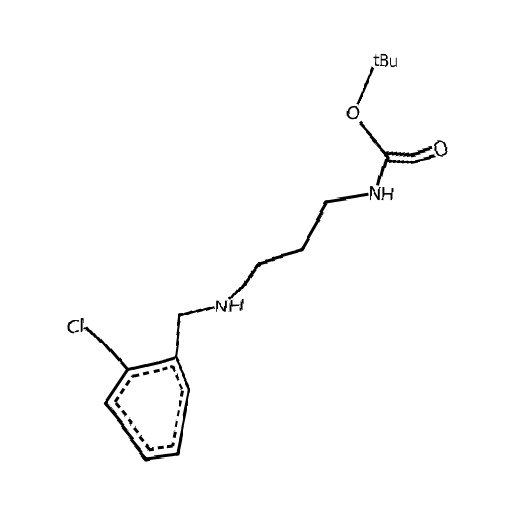 CC(C)(C)OC(=O)NCCCNCc1ccccc1Cl